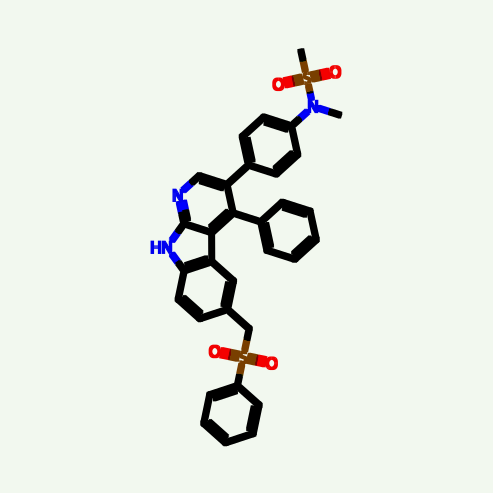 CN(c1ccc(-c2cnc3[nH]c4ccc(CS(=O)(=O)c5ccccc5)cc4c3c2-c2ccccc2)cc1)S(C)(=O)=O